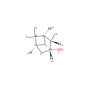 C[C@@H]1[C@H](O)C[C@@H]2C[C@H]1C2(C)C